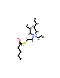 CCCCC(=O)SCC[N+](CC)(CCC)CCCC